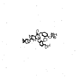 O=C(NCC1CCC(O[PH](=O)O)CC1)c1cnc(N2CCC3(CC3)C2)nc1NCc1ccc(CO)c(Cl)c1